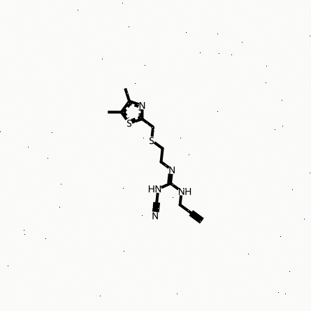 C#CCN/C(=N/CCSCc1nc(C)c(C)s1)NC#N